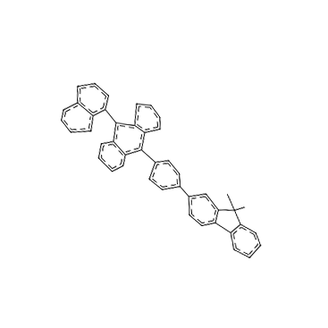 CC1(C)c2ccccc2-c2ccc(-c3ccc(-c4c5ccccc5c(-c5cccc6ccccc56)c5ccccc45)cc3)cc21